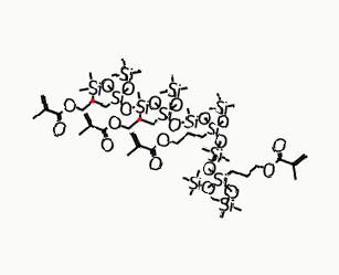 C=C(C)C(=O)OCCC[Si](O[Si](C)(C)C)(O[Si](C)(C)C)O[Si](C)(C)O[Si](CCCOC(=O)C(=C)C)(O[Si](C)(C)C)O[Si](C)(C)O[Si](CCCOC(=O)C(=C)C)(O[Si](C)(C)C)O[Si](C)(C)O[Si](CCCOC(=O)C(=C)C)(O[Si](C)(C)C)O[Si](C)(C)C